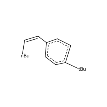 CCCC/C=[C]\c1ccc(C(C)(C)C)cc1